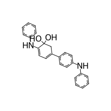 OC1(O)CC(c2ccc(Nc3ccccc3)cc2)=CC=C1Nc1ccccc1